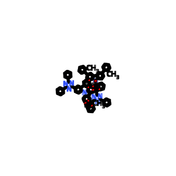 Cc1ccccc1-c1ccc2c(c1)c1cc(-c3ccccc3C)ccc1n2-c1ccc(-c2nc(-c3ccccc3)nc(-c3ccccc3)n2)cc1-c1cccc(-c2cc(-c3nc(-c4ccccc4)nc(-c4ccccc4)n3)ccc2-n2c3ccc(-c4ccccc4C)cc3c3cc(-c4ccccc4C)ccc32)c1